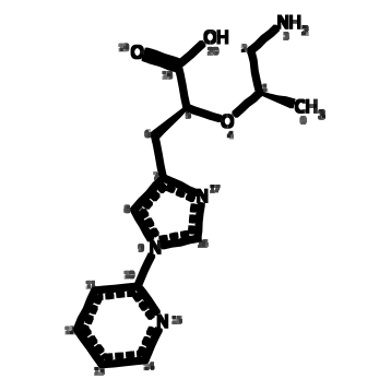 C[C@H](CN)O[C@@H](Cc1cn(-c2ccccn2)cn1)C(=O)O